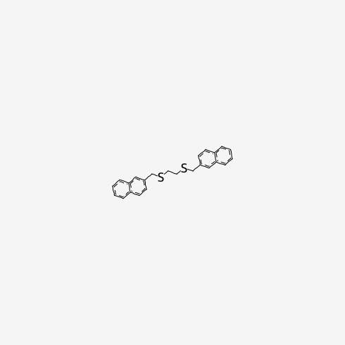 c1ccc2cc(CSCCSCc3ccc4ccccc4c3)ccc2c1